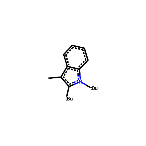 Cc1c(C(C)(C)C)n(C(C)(C)C)c2ccccc12